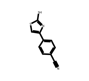 N#Cc1ccc(-c2csc(S)n2)cc1